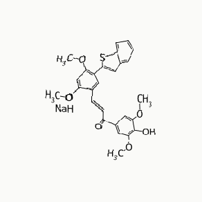 COc1cc(OC)c(-c2cc3ccccc3s2)cc1C=CC(=O)c1cc(OC)c(O)c(OC)c1.[NaH]